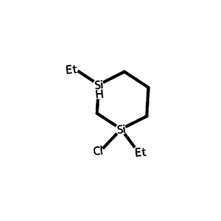 CC[SiH]1CCC[Si](Cl)(CC)C1